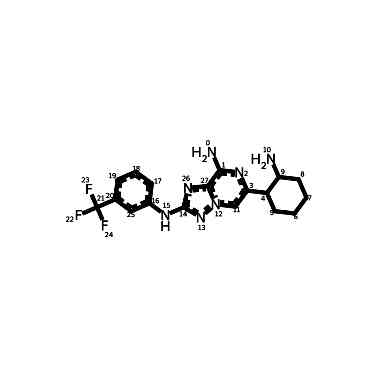 Nc1nc(C2CCCCC2N)cn2nc(Nc3cccc(C(F)(F)F)c3)nc12